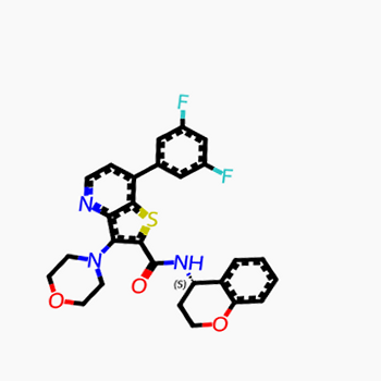 O=C(N[C@H]1CCOc2ccccc21)c1sc2c(-c3cc(F)cc(F)c3)ccnc2c1N1CCOCC1